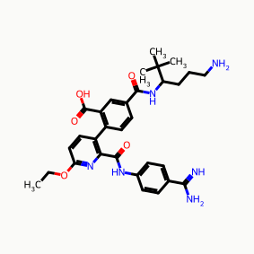 CCOc1ccc(-c2ccc(C(=O)NC(CCCN)C(C)(C)C)cc2C(=O)O)c(C(=O)Nc2ccc(C(=N)N)cc2)n1